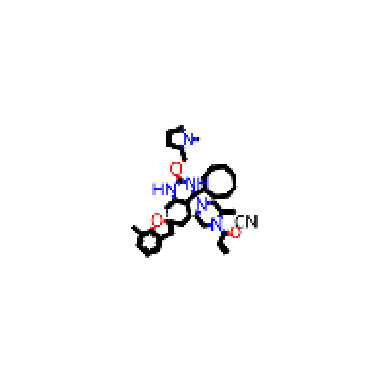 C=CC(=O)N1CCN(C2(C3CCCCCCC3)NC(OCC3CCCN3C)NC3C[C@]4(CCC32)Cc2cccc(C)c2O4)CC1CC#N